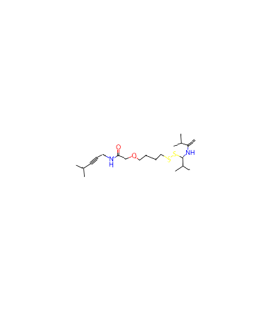 C=C(NC(SSCCCCOCC(=O)NCC#CC(C)C)C(C)C)C(C)C